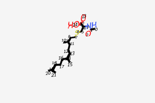 CC(=O)NC(CSCC=C(C)CCC=C(C)CCC=C(C)C)C(=O)O